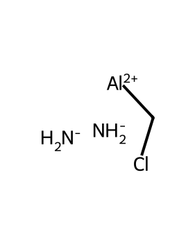 [Al+2][CH2]Cl.[NH2-].[NH2-]